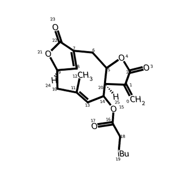 C=C1C(=O)OC2CC3=C[C@@H](C/C(C)=C/C(OC(=O)CC(C)CC)[C@H]12)OC3=O